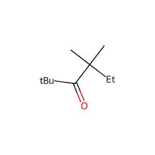 CCC(C)(C)C(=O)C(C)(C)C